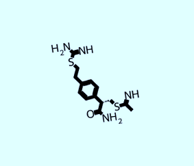 CC(=N)SC[C@H](C(N)=O)c1ccc(CCSC(=N)N)cc1